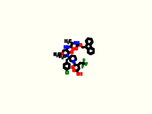 COCC(NC(=O)C(C)NC(=O)OCC1c2ccccc2-c2ccccc21)C(=O)N(C)[C@@]1(Cc2ccc(Cl)cc2)CCCN(C(=O)C(CC(=O)O)CC(F)(F)F)C1